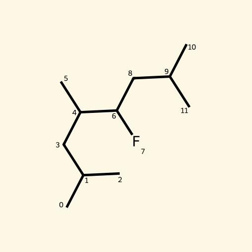 CC(C)CC(C)C(F)CC(C)C